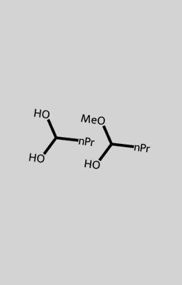 CCCC(O)O.CCCC(O)OC